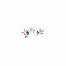 CCO[Si](OCC)(OCC)C(F)(F)OC(F)(F)OC(F)(F)C(F)(F)OC(F)(F)[Si](OCC)(OCC)OCC